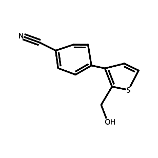 N#Cc1ccc(-c2ccsc2CO)cc1